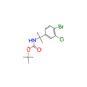 CC(C)(C)OC(=O)NC(C)(C)c1ccc(Br)c(Cl)c1